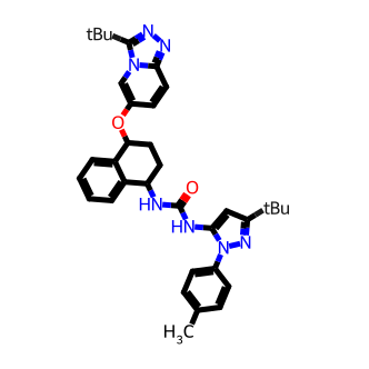 Cc1ccc(-n2nc(C(C)(C)C)cc2NC(=O)NC2CCC(Oc3ccc4nnc(C(C)(C)C)n4c3)c3ccccc32)cc1